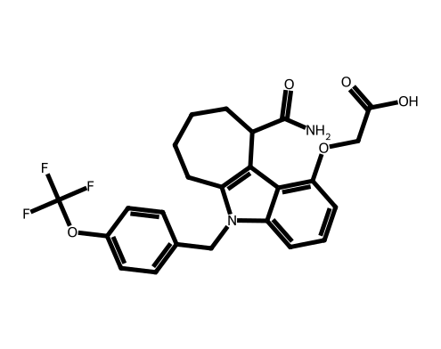 NC(=O)C1CCCCc2c1c1c(OCC(=O)O)cccc1n2Cc1ccc(OC(F)(F)F)cc1